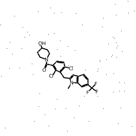 Cn1c(Cc2c(Cl)ccc(C(=O)N3CCC(O)CC3)c2Cl)cc2ccc(C(F)(F)F)cc21